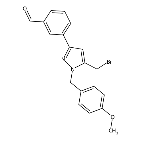 COc1ccc(Cn2nc(-c3cccc(C=O)c3)cc2CBr)cc1